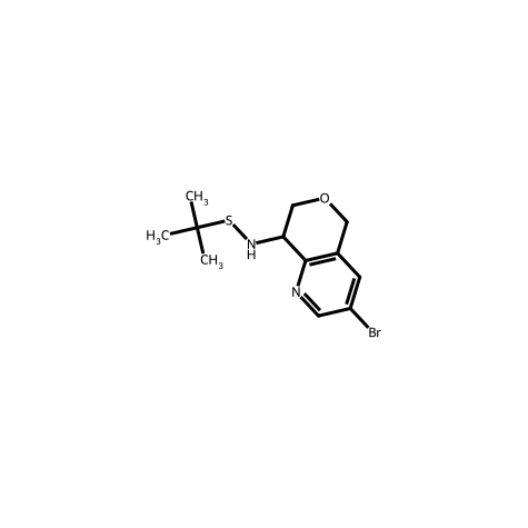 CC(C)(C)SNC1COCc2cc(Br)cnc21